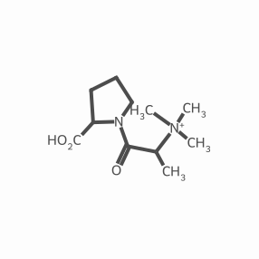 CC(C(=O)N1CCCC1C(=O)O)[N+](C)(C)C